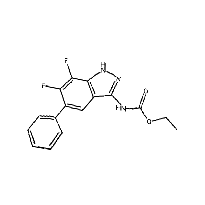 CCOC(=O)Nc1n[nH]c2c(F)c(F)c(-c3ccccc3)cc12